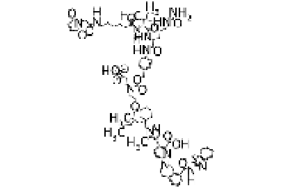 CCCC1(C)CC2(Cn3ncc(-c4ccc(N5CCc6cccc(C(=O)Nc7nc8ccccc8s7)c6C5)nc4C(=O)O)c3C)CCCC(OCCN(CCS(=O)(=O)O)C(=O)OCc3ccc(NC(=O)[C@H](CCCNC(N)=O)NC(=O)C(NC(=O)CCCCCNC(=O)CN4C(=O)C=CC4=O)C(C)C)cc3)(C1)C2